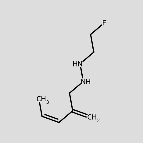 C=C(/C=C\C)CNNCCF